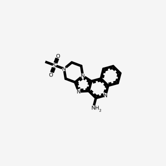 CS(=O)(=O)N1CCn2c(nc3c(N)nc4ccccc4c32)C1